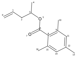 C=CCC(C)OC(=O)c1c(C)cc(C)cc1C